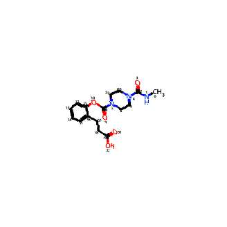 CNC(=O)N1CCN(C(=O)Oc2ccccc2CCC(=O)O)CC1